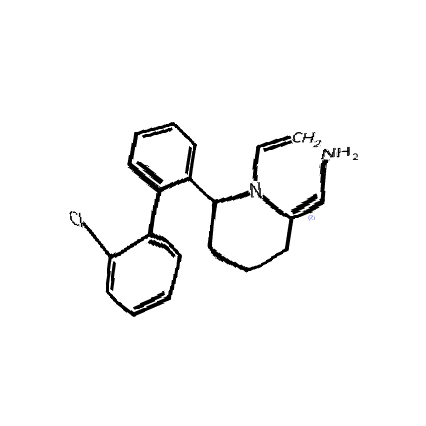 C=CN1/C(=C\N)CCCC1c1ccccc1-c1ccccc1Cl